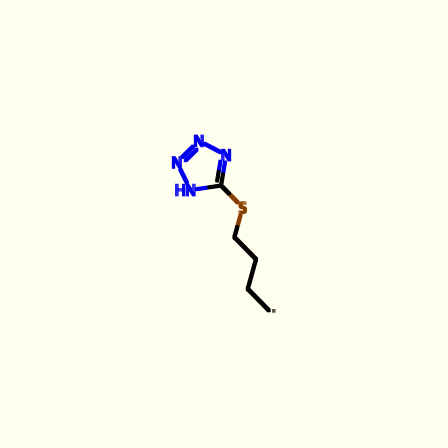 [CH2]CCCSc1nnn[nH]1